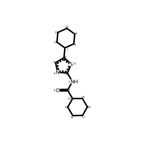 O=C(Nc1ncc(C2CCCCC2)s1)C1CCCCC1